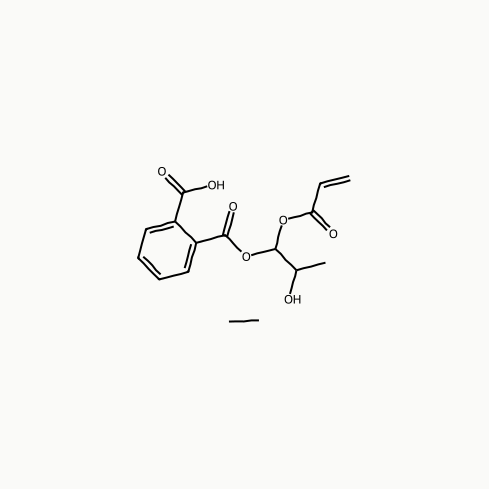 C=CC(=O)OC(OC(=O)c1ccccc1C(=O)O)C(C)O.CC